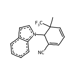 CC1(C(F)(F)F)C=CC=C(C#N)C1n1ccc2ccccc21